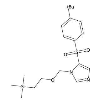 CC(C)(C)c1ccc(S(=O)(=O)c2cncn2COCC[Si](C)(C)C)cc1